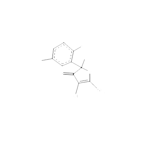 CC1(c2cc(F)ccc2Cl)OC(N)=C(O)C1=O